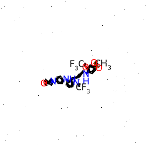 CS(=O)(=O)c1ccc(NCC#Cc2cc3c(NC4CCC(N5CC6(COC6)C5)CC4)cccc3n2CC(F)(F)F)c(OCC(F)(F)F)c1